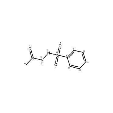 CC(=O)N[N]S(=O)(=O)c1ccccc1